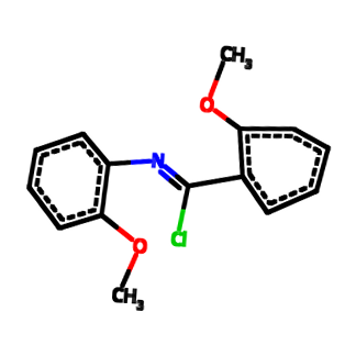 COc1ccccc1N=C(Cl)c1ccccc1OC